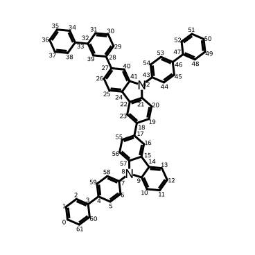 c1ccc(-c2ccc(-n3c4ccccc4c4cc(-c5ccc6c(c5)c5ccc(-c7cccc(-c8ccccc8)c7)cc5n6-c5ccc(-c6ccccc6)cc5)ccc43)cc2)cc1